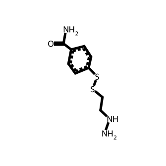 NNCCSSc1ccc(C(N)=O)cc1